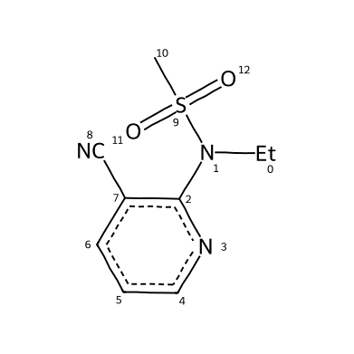 CCN(c1ncccc1C#N)S(C)(=O)=O